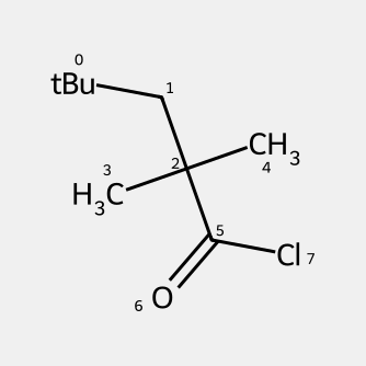 CC(C)(C)CC(C)(C)C(=O)Cl